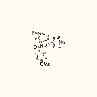 COc1ccc(C(=O)n2cc(C3=CCN(C)CC3)c3ccc(Br)cc32)cc1